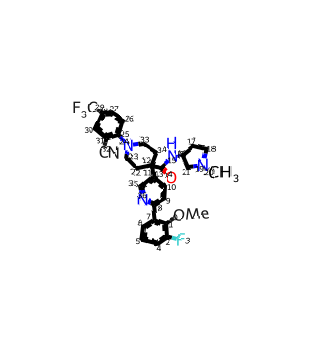 COc1c(F)cccc1-c1ccc(C2(C(=O)N[C@H]3CCN(C)C3)CCN(c3ccc(C(F)(F)F)cc3C#N)CC2)cn1